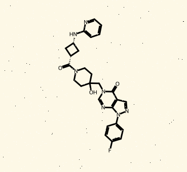 O=c1c2cnn(-c3ccc(F)cc3)c2ncn1CC1(O)CCN(C(=O)[C@H]2C[C@@H](Nc3ccccn3)C2)CC1